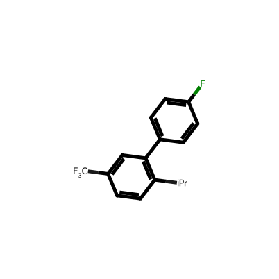 CC(C)c1ccc(C(F)(F)F)cc1-c1ccc(F)cc1